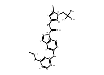 CNCc1cc(Oc2ccc3c(ccn3C(=O)Nc3cc(C)n(CC(F)(F)F)n3)c2)ncn1